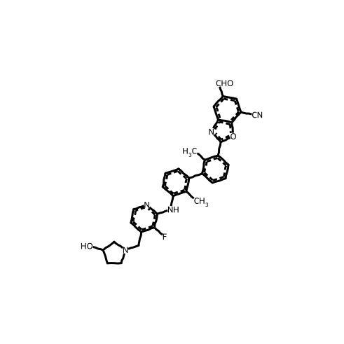 Cc1c(Nc2nccc(CN3CCC(O)C3)c2F)cccc1-c1cccc(-c2nc3cc(C=O)cc(C#N)c3o2)c1C